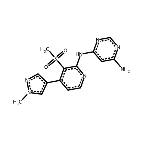 Cn1cc(-c2ccnc(Nc3cc(N)ncn3)c2S(C)(=O)=O)cn1